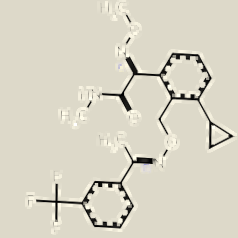 CNC(=O)/C(=N/OC)c1cccc(C2CC2)c1CO/N=C(\C)c1cccc(C(F)(F)F)c1